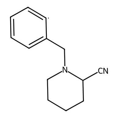 N#CC1CCCCN1Cc1[c]cccc1